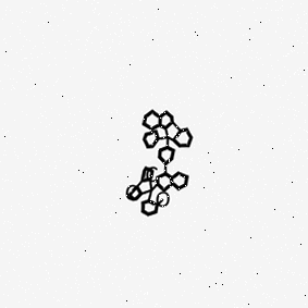 c1ccc(C2(c3ccc(-c4cc5c(c6ccccc46)Oc4ccccc4C54c5ccccc5-c5ccccc54)cc3)c3ccccc3-c3ccc4ccccc4c32)cc1